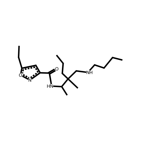 CCCCNCC(C)(CCC)C(C)NC(=O)c1cc(CC)on1